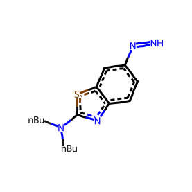 CCCCN(CCCC)c1nc2ccc(N=N)cc2s1